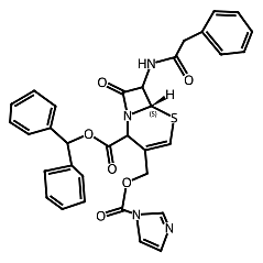 O=C(Cc1ccccc1)NC1C(=O)N2C(C(=O)OC(c3ccccc3)c3ccccc3)C(COC(=O)n3ccnc3)=CS[C@@H]12